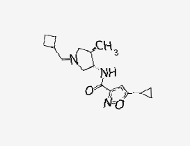 C[C@@H]1CN(CC2CCC2)C[C@H]1NC(=O)c1cc(C2CC2)on1